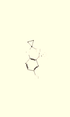 CCC1(Oc2ccc(Br)cc2[N+](=O)[O-])CC1